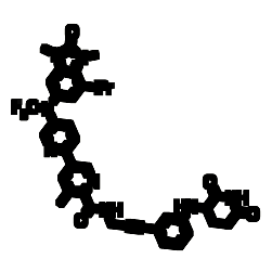 Cc1cc(-c2ccc(N(c3cc(C(C)C)c4c(c3)n(C)c(=O)n4C)C(F)(F)F)cn2)cnc1C(=O)NCC#Cc1cccc(NC2CCC(=O)NC2=O)c1